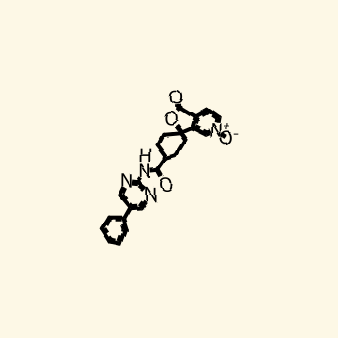 O=C1OC2(CCC(C(=O)Nc3ncc(-c4ccccc4)cn3)CC2)c2c[n+]([O-])ccc21